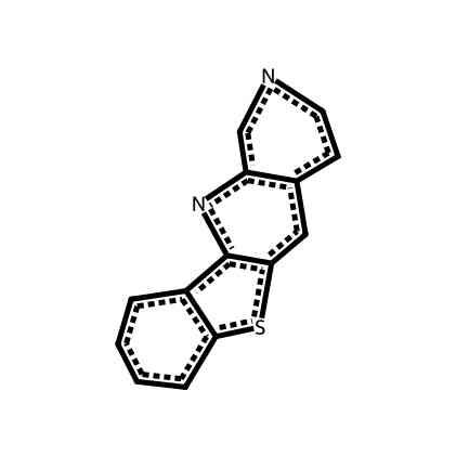 c1ccc2c(c1)sc1cc3ccncc3nc12